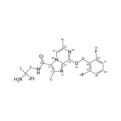 CCC(C)(N)CNC(=O)c1c(C)nc2c(OCc3c(F)cccc3F)nc(C)cn12